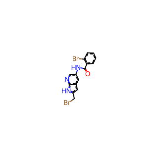 O=C(Nc1cnc2[nH]c(CBr)cc2c1)c1ccccc1Br